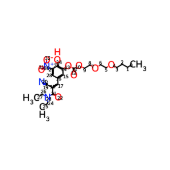 CCCCOCCOCCOC(=O)Oc1cc(/C=C(\C#N)C(=O)N(CC)CC)cc([N+](=O)[O-])c1O